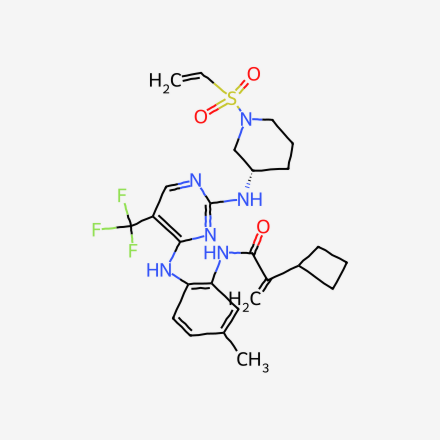 C=CS(=O)(=O)N1CCC[C@H](Nc2ncc(C(F)(F)F)c(Nc3ccc(C)cc3NC(=O)C(=C)C3CCC3)n2)C1